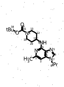 Cc1cc2c(ncn2C(C)C)c(NC2CCN(C(=O)OC(C)(C)C)CC2)n1